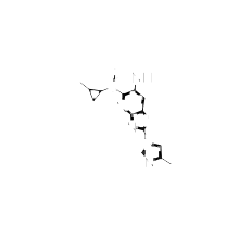 Cc1cn(-c2nc3nc([S+]([O-])C4CC4C)c(N)cc3s2)cn1